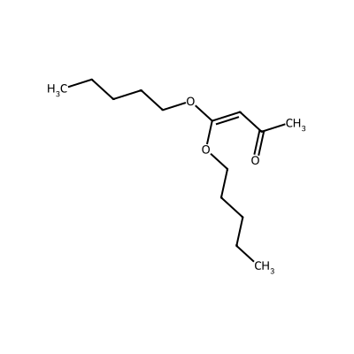 CCCCCOC(=CC(C)=O)OCCCCC